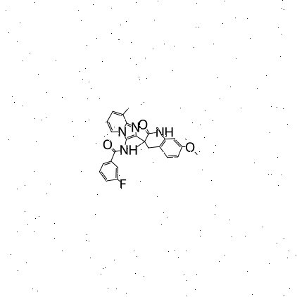 COc1ccc2c(c1)NC(=O)C(C)(c1nc3c(C)cccn3c1NC(=O)c1cccc(F)c1)C2